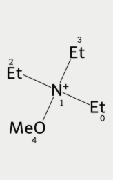 CC[N+](CC)(CC)OC